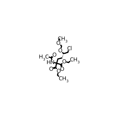 CCOC(=O)C(CC[C@@H](CCl)OCOC)(NC(C)=O)C(=O)OCC